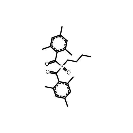 CCCCP(=O)(C(=O)c1c(C)cc(C)cc1C)C(=O)c1c(C)cc(C)cc1C